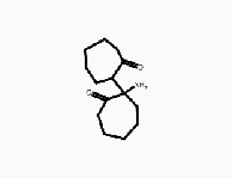 NC1(C2CCCCCC2=O)CCCCCC1=O